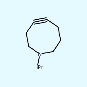 CC(C)N1CCC#CCCC1